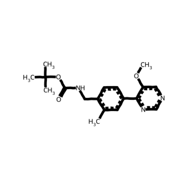 COc1cncnc1-c1ccc(CNC(=O)OC(C)(C)C)c(C)c1